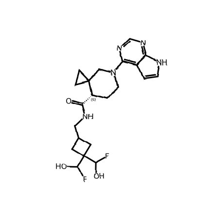 O=C(NCC1CC(C(O)F)(C(O)F)C1)[C@H]1CCN(c2ncnc3[nH]ccc23)CC12CC2